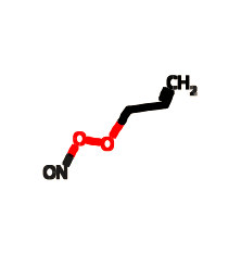 C=CCOON=O